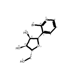 OC[C@H]1O[C@H](c2cccnc2Br)[C@H](O)[C@@H]1O